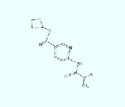 CC(Br)C(=O)Nc1ccc(C(=O)OC2CCC2)cn1